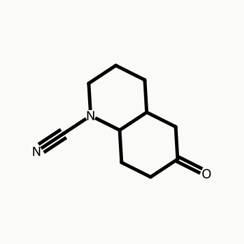 N#CN1CCCC2CC(=O)CCC21